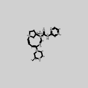 C[C@H]1CN(C2=CC=CN3CC[C@@H](C3)N(C(=O)Nc3cnccn3)C=N2)CCO1